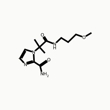 COCCCNC(=O)C(C)(C)n1c[c]nc1C(N)=O